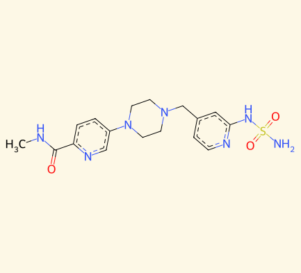 CNC(=O)c1ccc(N2CCN(Cc3ccnc(NS(N)(=O)=O)c3)CC2)cn1